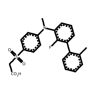 Cc1ccccc1-c1cccc(N(C)c2ccc(S(=O)(=O)CC(=O)O)cc2)c1F